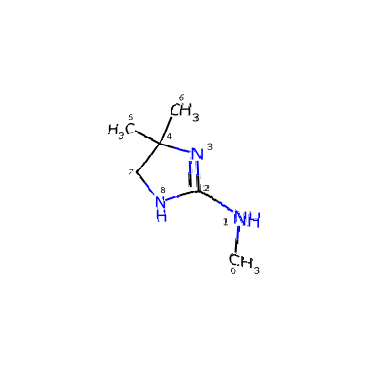 CNC1=NC(C)(C)CN1